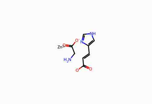 NCC(=O)[O-].O=C([O-])C=Cc1c[nH]cn1.[Zn+2]